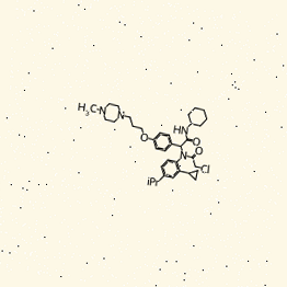 CC(C)c1ccc(N(C(=O)CCl)C(C(=O)NC2CCCCC2)c2ccc(OCCCN3CCN(C)CC3)cc2)c(C2CC2)c1